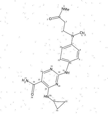 CNC(=O)CCN(C)c1ccc(Nc2ncc(C(N)=O)c(NC3CC3)n2)cc1